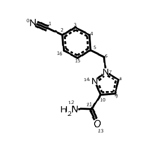 N#Cc1ccc(Cn2c[c]c(C(N)=O)n2)cc1